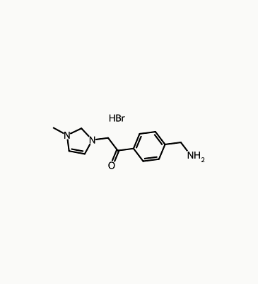 Br.CN1C=CN(CC(=O)c2ccc(CN)cc2)C1